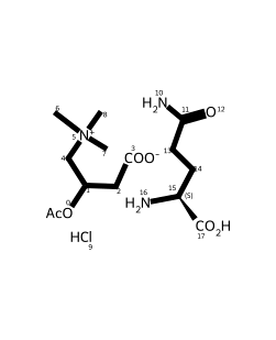 CC(=O)OC(CC(=O)[O-])C[N+](C)(C)C.Cl.NC(=O)CC[C@H](N)C(=O)O